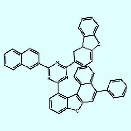 C1=C(c2nc(-c3ccc4ccccc4c3)nc(-c3cccc4oc5cc(-c6ccccc6)c6ccccc6c5c34)n2)CC2C(=C1)Sc1ccccc12